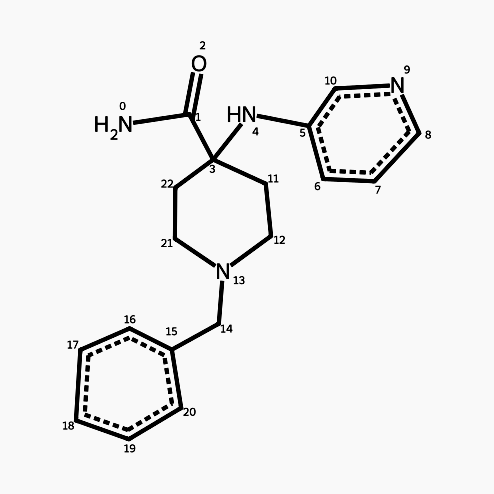 NC(=O)C1(Nc2cccnc2)CCN(Cc2ccccc2)CC1